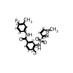 Cc1cc(NC(=O)c2ccc(I)c(NS(=O)(=O)c3ccn(C)n3)c2)ccc1F